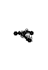 O=C(NCc1cc2ccncc2[nH]1)C1CN(C(=O)OCc2ccccc2)CCN1C(=O)C1CC(c2ccccc2)CN1